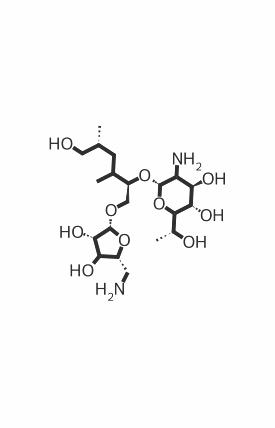 CC(C[C@@H](C)CO)[C@H](CO[C@@H]1O[C@H](CN)C(O)[C@@H]1O)O[C@H]1OC([C@@H](C)O)[C@@H](O)[C@H](O)C1N